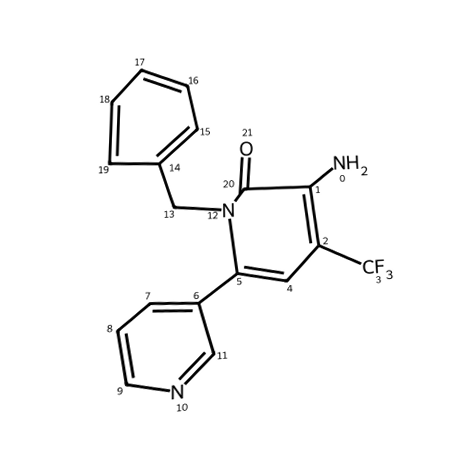 Nc1c(C(F)(F)F)cc(-c2cccnc2)n(Cc2ccccc2)c1=O